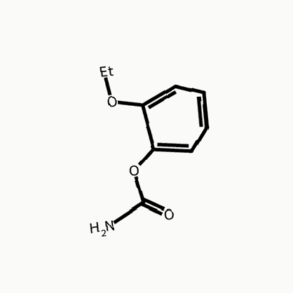 CCOc1ccccc1OC(N)=O